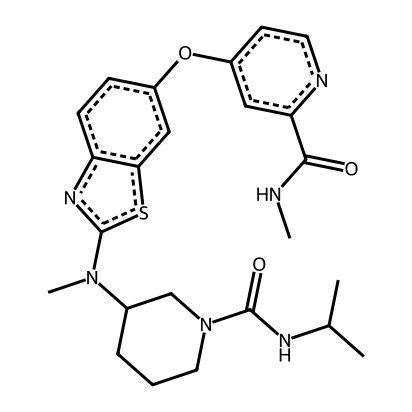 CNC(=O)c1cc(Oc2ccc3nc(N(C)C4CCCN(C(=O)NC(C)C)C4)sc3c2)ccn1